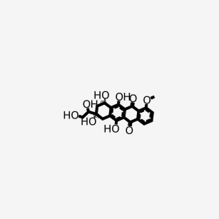 COc1cccc2c1C(=O)c1c(O)c3c(c(O)c1C2=O)C[C@@](O)(C(O)CO)C[C@@H]3O